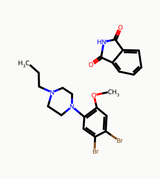 CCCN1CCN(c2cc(Br)c(Br)cc2OC)CC1.O=C1NC(=O)c2ccccc21